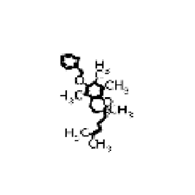 CC(C)=CCC[C@@]1(C)CCc2c(C)c(OCc3ccccc3)c(C)c(C)c2O1